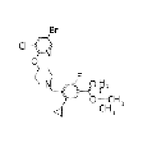 CC(C)(C)OC(=O)c1cc(C2CC2)c(CN2CCC(Oc3ncc(Br)cc3Cl)CC2)cc1F